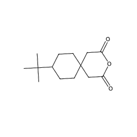 CC(C)(C)C1CCC2(CC1)CC(=O)OC(=O)C2